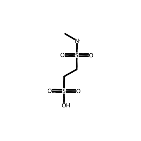 C[N]S(=O)(=O)CCS(=O)(=O)O